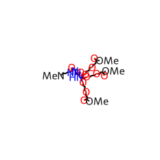 CNCCCNC(=O)N(C)CC(=O)NC(COCCCOCCC(=O)OC)(COCCCOCCC(=O)OC)COCCCOCCC(=O)OC